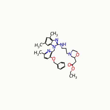 CCOC(=O)CC1CN(CCCNc2nc3c(C)cc(C)cc3n2Cc2nc(C)ccc2OCc2ccccc2)CCO1